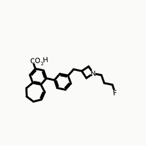 O=C(O)c1cc2c(c(-c3cccc(CC4CN(CCCF)C4)c3)c1)C=CCCC2